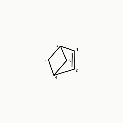 [C]1=[C]C2CC1C2